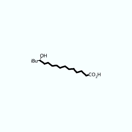 CC[C@H](C)[C@H](O)CCCCCCCCCCCC(=O)O